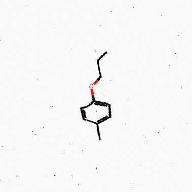 [CH2]c1ccc(OCCC)cc1